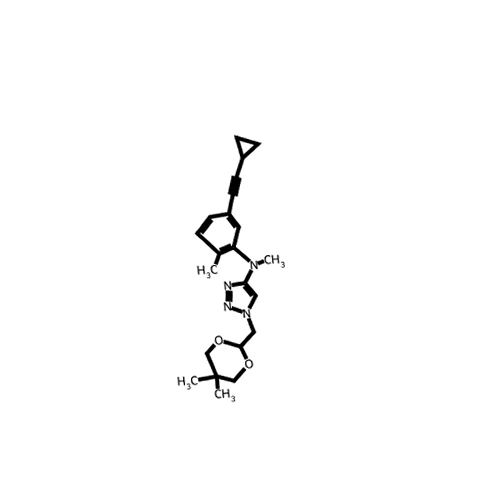 Cc1ccc(C#CC2CC2)cc1N(C)c1cn(CC2OCC(C)(C)CO2)nn1